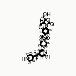 O=C1O[C@H](CO)[C@H]2COc3cc(S(=O)(=O)N4CCN(c5cc(C(F)(F)C6CCNCC6)cc(Cl)n5)CC4)ccc3N12